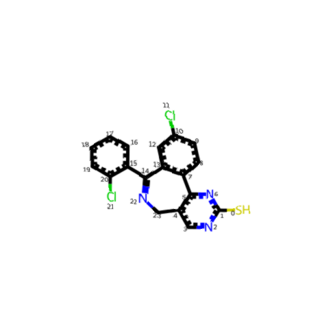 Sc1ncc2c(n1)-c1ccc(Cl)cc1C(c1ccccc1Cl)=NC2